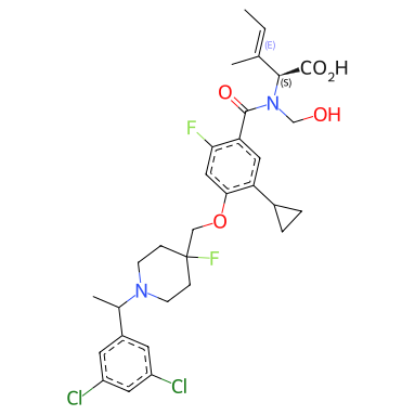 C/C=C(\C)[C@@H](C(=O)O)N(CO)C(=O)c1cc(C2CC2)c(OCC2(F)CCN(C(C)c3cc(Cl)cc(Cl)c3)CC2)cc1F